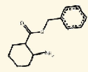 NC1CCCCC1C(=O)OCc1ccccc1